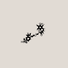 CC1=[N+](CCOCCNC(=O)C2(C)CCc3c(C)c(O)c(C)c(C)c3O2)c2ccc(S(=O)(=O)O)cc2C1(C)C